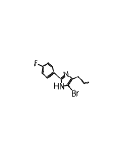 CCCc1nc(-c2ccc(F)cc2)[nH]c1Br